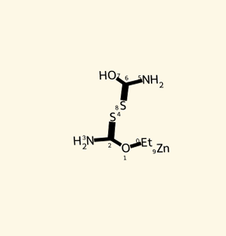 CCOC(N)=S.NC(O)=S.[Zn]